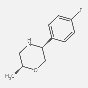 C[C@H]1CN[C@@H](c2ccc(F)cc2)CO1